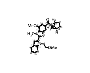 COCCn1c(-c2nc3cc(C(=O)N4C[C@H]5CC[C@@H]4[C@@H]5N)cc(OC)c3n2C)cc2cccnc21